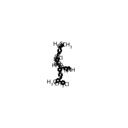 CN(C)CC(=O)N1CCC(F)(CCOc2ncc(S(=O)(=O)NC(=O)c3ccc(N4CCN(CC5=C(c6ccc(Cl)cc6)CC(C)(C)CC5)CC4)cc3Oc3cnc4[nH]ccc4c3)cc2Cl)CC1